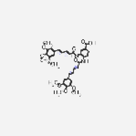 COc1cc(/C=C/C=C/C(=O)Nc2ccc(C(=O)O)cc2NC(=O)/C=C/C=C/c2cc(OC)c(OC)c(OC)c2)cc(OC)c1OC